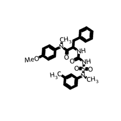 COc1ccc(N(C)C(=O)C(Cc2ccccc2)NC(=O)NS(=O)(=O)N(C)c2cccc(C)c2)cc1